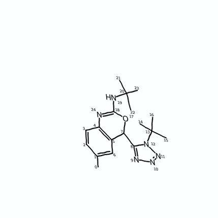 Cc1ccc2c(c1)C(c1nnnn1C(C)(C)C)OC(NC(C)(C)C)=N2